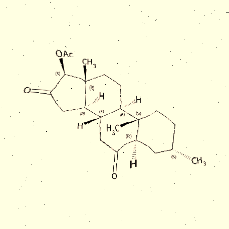 CC(=O)O[C@@H]1C(=O)C[C@@H]2[C@H]3CC(=O)[C@@H]4C[C@@H](C)CC[C@@]4(C)[C@@H]3CC[C@@]12C